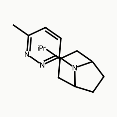 Cc1ccc(N2C3CCC2CC(C(C)C)C3)nn1